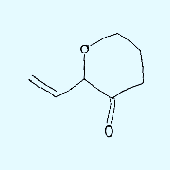 C=CC1OCCCC1=O